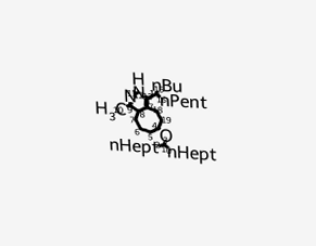 CCCCCCCC(CCCCCCC)OC1CCCC2C(C)=NNC(C(CCCC)CCCCC)=C2CC1